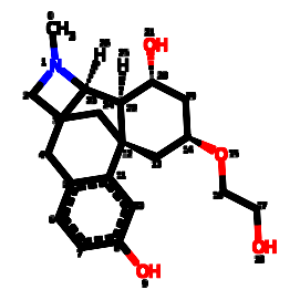 CN1CC23Cc4ccc(O)cc4[C@]4(C[C@H](OCCO)C[C@@H](O)[C@@H]4[C@H]12)C3